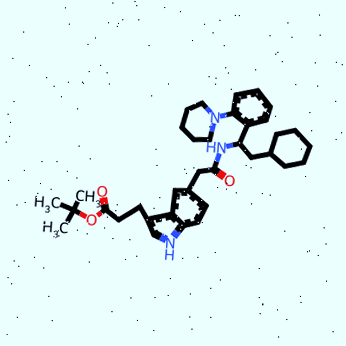 CC(C)(C)OC(=O)CCc1c[nH]c2ccc(CC(=O)NC(CC3CCCCC3)c3ccccc3N3CCCCC3)cc12